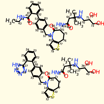 CC(C)(CC(=O)N[C@@H]1CCc2sccc2N(Cc2ccc(-c3ccccc3-c3nnn[nH]3)cc2)C1=O)NC[C@H](O)CO.CCNC(=O)c1ccccc1-c1ccc(CN2C(=O)[C@H](NC(=O)CC(C)(C)NC[C@H](O)CO)CCc3sccc32)cc1